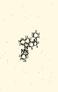 c1ccc(-n2ccc3cc4c5c(ccc6cccc(c65)n4-c4nc5ccccc5s4)c32)cc1